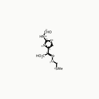 CSCON=C(C(=O)O)c1csc(NC=O)n1